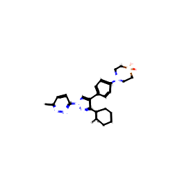 Cc1ccc(-n2cc(-c3ccc(N4CCS(O)(O)CC4)cc3)c(C3CCCCC3C(=O)O)n2)nn1